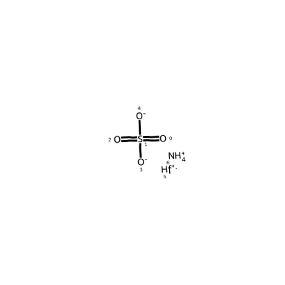 O=S(=O)([O-])[O-].[Hf+].[NH4+]